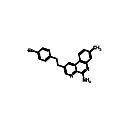 C[CH]c1ccc(CCc2cnc3c(N)nc4cc(C)ccc4c3c2)cc1